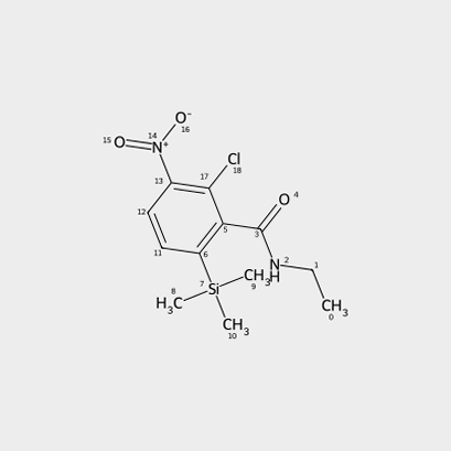 CCNC(=O)c1c([Si](C)(C)C)ccc([N+](=O)[O-])c1Cl